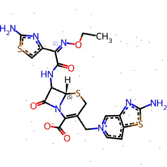 CCO/N=C(\C(=O)NC1C(=O)N2C(C(=O)[O-])=C(C[n+]3ccc4sc(N)nc4c3)CS[C@@H]12)c1csc(N)n1